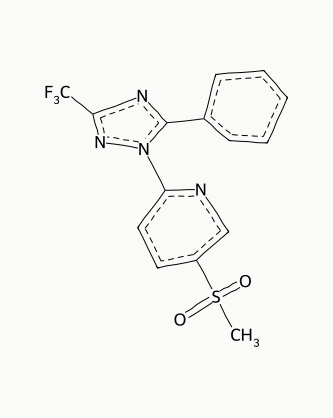 CS(=O)(=O)c1ccc(-n2nc(C(F)(F)F)nc2-c2ccccc2)nc1